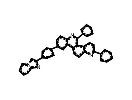 c1ccc(-c2ccc3c(ccc4c5cc(-c6ccc(-c7cn8ccccc8n7)cc6)ccc5nc(-c5ccccc5)c34)n2)cc1